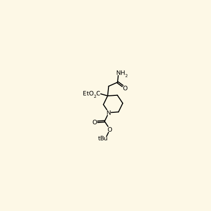 CCOC(=O)C1(CC(N)=O)CCCN(C(=O)OC(C)(C)C)C1